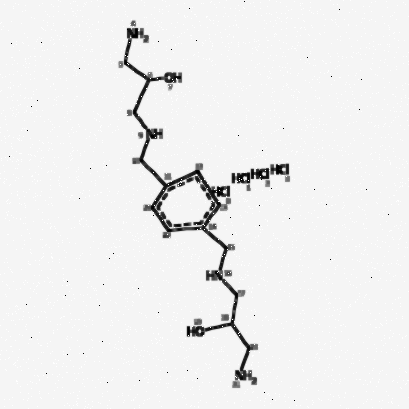 Cl.Cl.Cl.Cl.NCC(O)CNCc1ccc(CNCC(O)CN)cc1